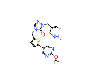 CCOc1ncc(-c2ccc(Cn3cnn(C/C(=C/F)CN)c3=O)s2)cn1